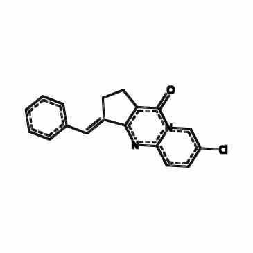 O=c1c2c(nc3ccc(Cl)cn13)C(=Cc1ccccc1)CC2